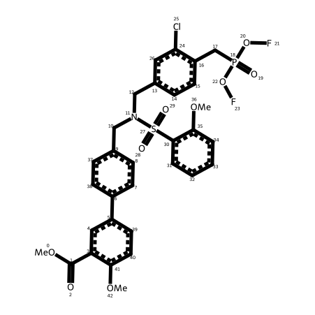 COC(=O)c1cc(-c2ccc(CN(Cc3ccc(CP(=O)(OF)OF)c(Cl)c3)S(=O)(=O)c3ccccc3OC)cc2)ccc1OC